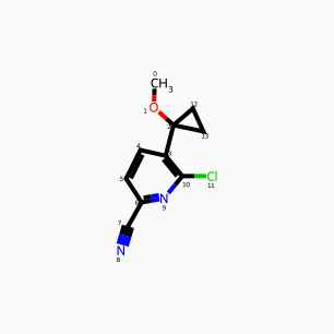 COC1(c2ccc(C#N)nc2Cl)CC1